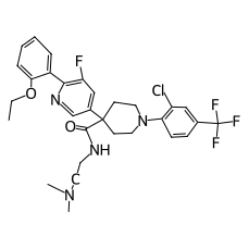 CCOc1ccccc1-c1ncc(C2(C(=O)NCCN(C)C)CCN(c3ccc(C(F)(F)F)cc3Cl)CC2)cc1F